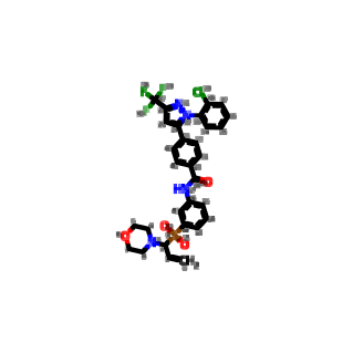 C=CC(N1CCOCC1)S(=O)(=O)c1cccc(NC(=O)c2ccc(-c3cc(C(F)(F)F)nn3-c3ccccc3Cl)cc2)c1